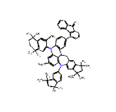 C=C1c2ccccc2-c2c1cccc2-c1ccc2c(c1)B1Cc3cc4c(cc3N(c3ccc5c(c3)C(C)(C)CC5(C)C)c3cc(C)cc(c31)N2c1cc2c(cc1C)C(C)(C)CCC2(C)C)C(C)(C)CC4(C)C